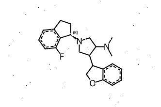 CN(C)C1CN([C@@H]2CCc3cccc(F)c32)CC1C1COc2ccccc21